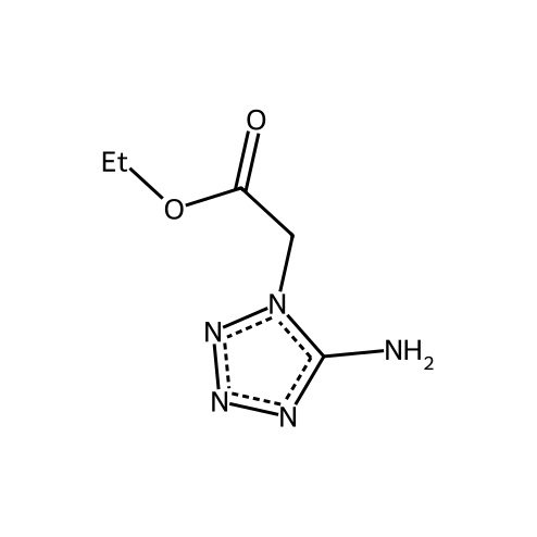 CCOC(=O)Cn1nnnc1N